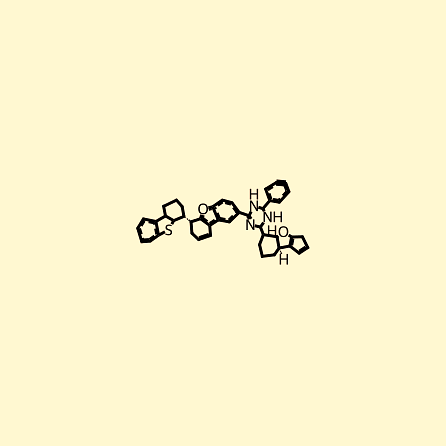 c1ccc(C2NC(c3ccc4oc5c(c4c3)C=CCC5[C@H]3CCCC4c5ccccc5SC43)=NC(C3CCC[C@@H]4C5=C(CC=C5)O[C@H]34)N2)cc#1